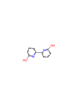 Oc1cc[c]c(-c2cccc(O)n2)n1